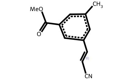 COC(=O)c1cc(C)cc(/C=C/C#N)c1